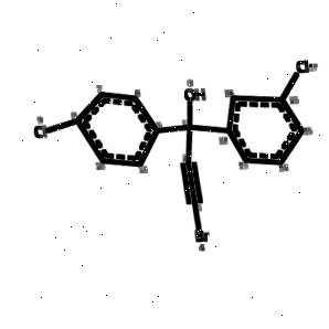 OC(C#CBr)(c1ccc(Cl)cc1)c1cccc(Cl)c1